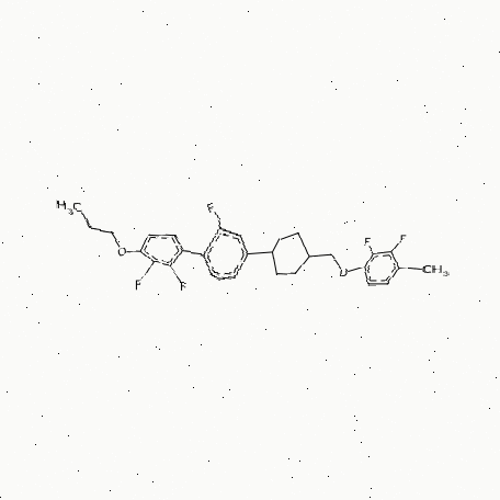 CCCOc1ccc(-c2ccc(C3CCC(COc4ccc(C)c(F)c4F)CC3)cc2F)c(F)c1F